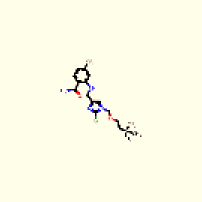 C[Si](C)(C)CCOCn1cc(CNc2cc(C(F)(F)F)ccc2C(N)=O)nc1Br